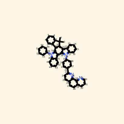 CC1(C)c2ccccc2-c2c1c1c3ccccc3n(-c3ccc(-c4ccc5ccc6cccnc6c5n4)cc3)c1c1c3ccccc3n(-c3ccccc3)c21